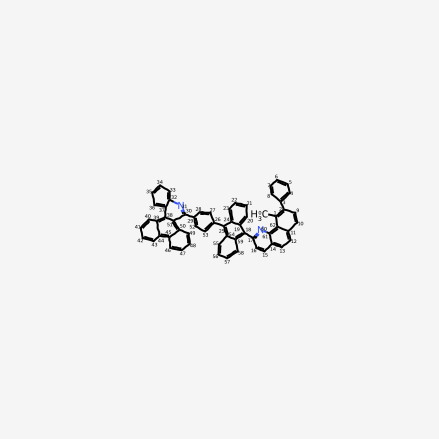 Cc1c(-c2ccccc2)ccc2ccc3ccc(-c4c5ccccc5c(-c5ccc(-c6nc7ccccc7c7c8ccccc8c8ccccc8c67)cc5)c5ccccc45)nc3c12